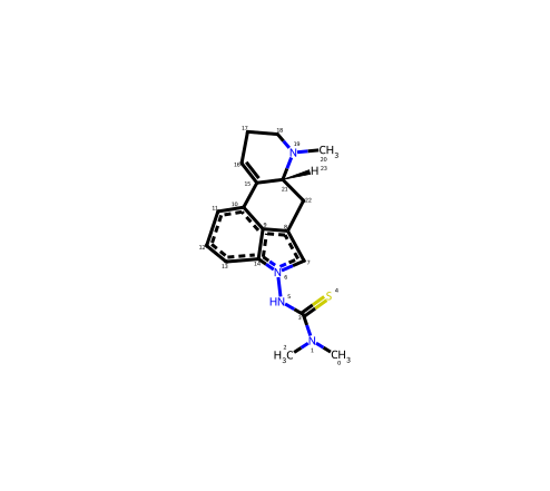 CN(C)C(=S)Nn1cc2c3c(cccc31)C1=CCCN(C)[C@@H]1C2